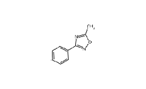 Cc1nc(-c2cc[c]cc2)no1